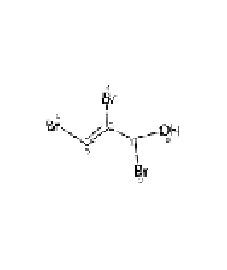 OC(Br)C(Br)=CBr